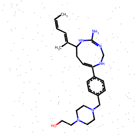 C/C=C\C=C(/C)C1C/C=C(/c2ccc(CN3CCN(CCO)CC3)cc2)NC/N=C(/N)N1